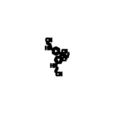 N#CCCNc1ccc(C(c2ccc(NCCC#N)cc2)(C(F)(F)F)C(F)(F)Cl)cc1